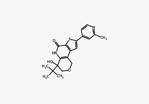 Cc1cc(-c2cc3c4c([nH]c(=O)c3s2)C(O)(C(C)(C)C)COC4)ccn1